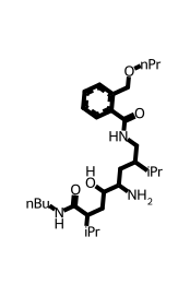 CCCCNC(=O)C(CC(O)C(N)CC(CNC(=O)c1ccccc1COCCC)C(C)C)C(C)C